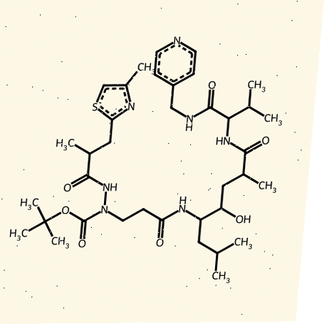 Cc1csc(CC(C)C(=O)NN(CCC(=O)NC(CC(C)C)C(O)CC(C)C(=O)NC(C(=O)NCc2ccncc2)C(C)C)C(=O)OC(C)(C)C)n1